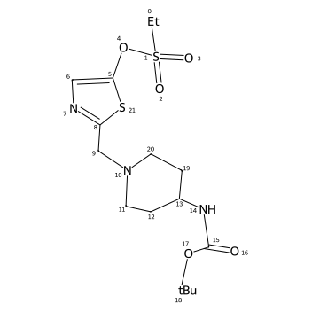 CCS(=O)(=O)Oc1cnc(CN2CCC(NC(=O)OC(C)(C)C)CC2)s1